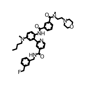 CCCCN(C)c1ccc(NC(=O)c2cccc(C(=O)N(C)CCN3CCOCC3)c2)c(-c2cc(C(=O)NCc3cccc(CF)c3)ccn2)c1